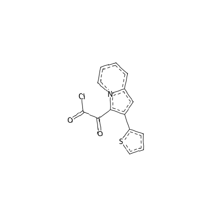 O=C(Cl)C(=O)c1c(-c2cccs2)cc2ccccn12